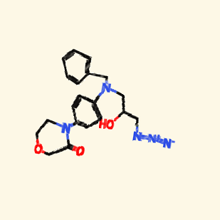 [N-]=[N+]=NCC(O)CN(Cc1ccccc1)c1ccc(N2CCOCC2=O)cc1